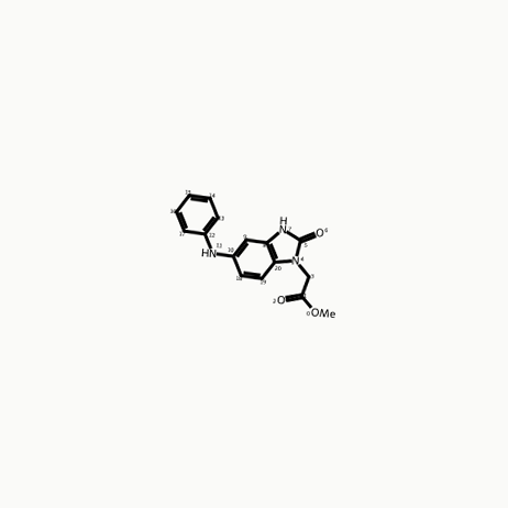 COC(=O)Cn1c(=O)[nH]c2cc(Nc3ccccc3)ccc21